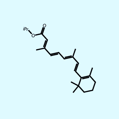 CC(C=CC1=C(C)CCCC1(C)C)=CC=CC(C)=CC(=O)OC(C)C